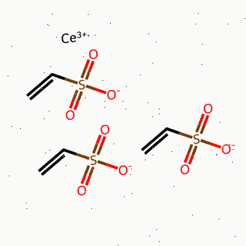 C=CS(=O)(=O)[O-].C=CS(=O)(=O)[O-].C=CS(=O)(=O)[O-].[Ce+3]